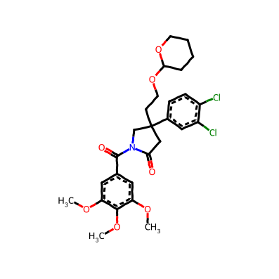 COc1cc(C(=O)N2CC(CCOC3CCCCO3)(c3ccc(Cl)c(Cl)c3)CC2=O)cc(OC)c1OC